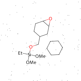 C1CCCCC1.CC[Si](OC)(OC)OCC1CCC2OC2C1